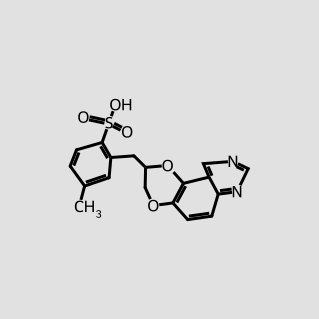 Cc1ccc(S(=O)(=O)O)c(CC2COc3ccc4ncncc4c3O2)c1